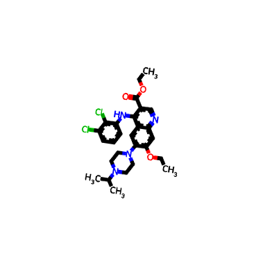 CCOC(=O)c1cnc2cc(OCC)c(N3CCN(C(C)C)CC3)cc2c1Nc1cccc(Cl)c1Cl